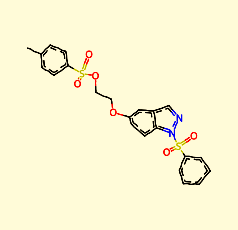 Cc1ccc(S(=O)(=O)OCCOc2ccc3c(cnn3S(=O)(=O)c3ccccc3)c2)cc1